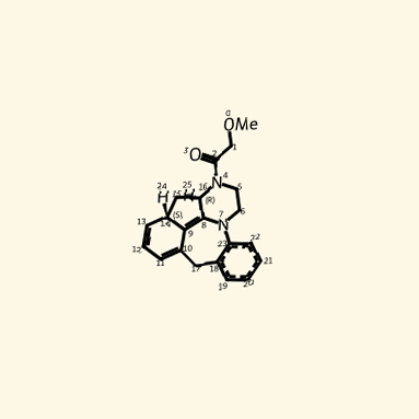 COCC(=O)N1CCN2C3=C4C(=CC=C[C@@H]4C[C@H]31)Cc1ccccc12